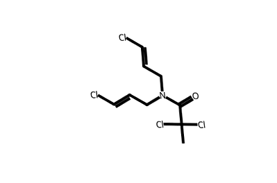 CC(Cl)(Cl)C(=O)N(CC=CCl)CC=CCl